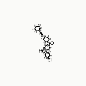 O=C(c1ccc(C#Cc2ccccc2)cc1)N1CCC(O)(c2ccc(Cl)cc2)CC1